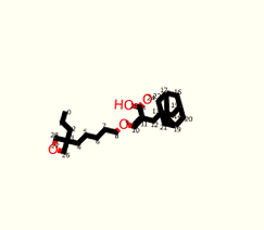 CCCC1(CCCCCOC=C(CC23CC4CC(CC(C4)C2)C3)C(=O)O)COC1